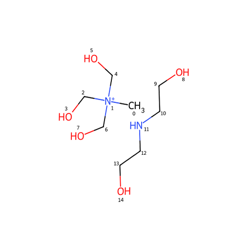 C[N+](CO)(CO)CO.OCCNCCO